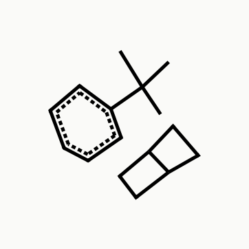 C1CC2CCC12.CC(C)(C)c1ccccc1